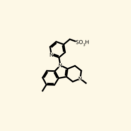 Cc1ccc2c(c1)c1c(n2-c2cc(CS(=O)(=O)O)ccn2)CCN(C)C1